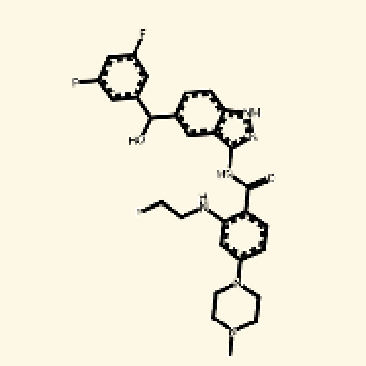 CN1CCN(c2ccc(C(=O)Nc3n[nH]c4ccc(C(O)c5cc(F)cc(F)c5)cc34)c(NCCF)c2)CC1